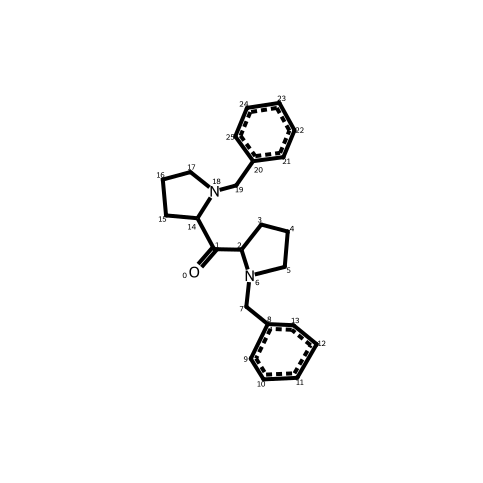 O=C(C1CCCN1Cc1ccccc1)C1CCCN1Cc1ccccc1